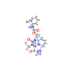 CN[C@@H](C)C(=O)N[C@H](C(=O)N1c2ncccc2C[C@@H]1OC(=O)Nc1ccccc1F)C(C)C